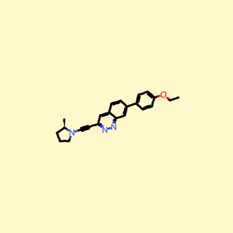 CCOc1ccc(-c2ccc3cc(C#CN4CCC[C@H]4C)nnc3c2)cc1